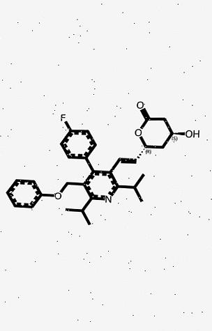 CC(C)c1nc(C(C)C)c(COc2ccccc2)c(-c2ccc(F)cc2)c1C=C[C@H]1C[C@H](O)CC(=O)O1